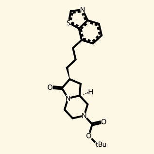 CC(C)(C)OC(=O)N1CCN2C(=O)[C@@H](CCCc3cccc4ncsc34)C[C@H]2C1